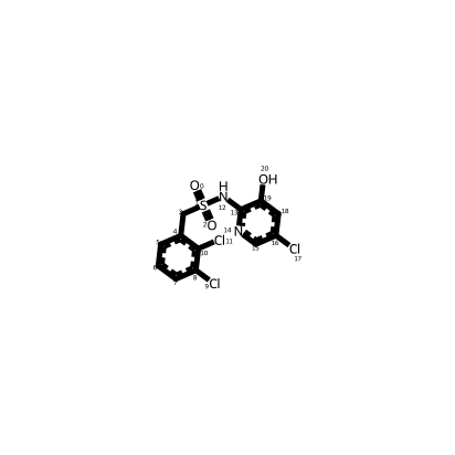 O=S(=O)(Cc1cccc(Cl)c1Cl)Nc1ncc(Cl)cc1O